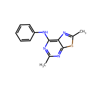 Cc1nc(Nc2ccccc2)c2nc(C)sc2n1